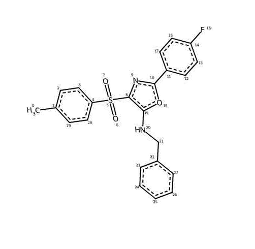 Cc1ccc(S(=O)(=O)c2nc(-c3ccc(F)cc3)oc2NCc2ccccc2)cc1